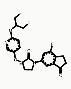 O=C1CCc2c(F)cc(N3CC[C@@H](Oc4ccc(OC(CF)CF)nc4)C3=O)cc21